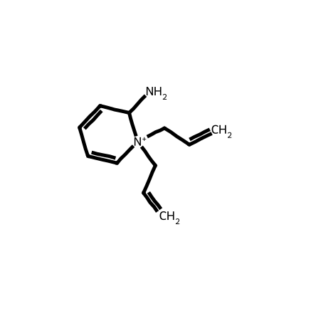 C=CC[N+]1(CC=C)C=CC=CC1N